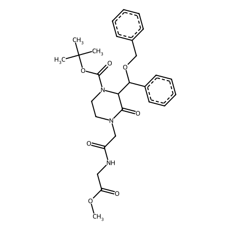 COC(=O)CNC(=O)CN1CCN(C(=O)OC(C)(C)C)C(C(OCc2ccccc2)c2ccccc2)C1=O